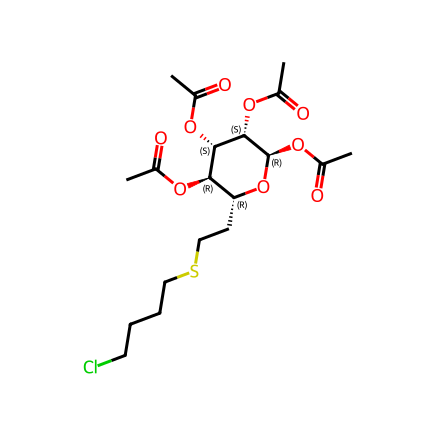 CC(=O)O[C@H]1O[C@H](CCSCCCCCl)[C@@H](OC(C)=O)[C@H](OC(C)=O)[C@@H]1OC(C)=O